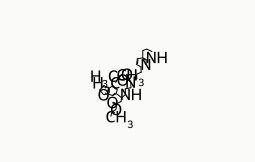 CCOC(=O)CC(NCCN(CCCc1ccc2c(n1)NCCC2)C(=O)OC(C)(C)C)c1ccc2c(c1)OCC2